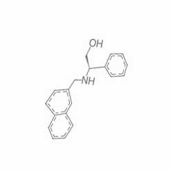 OC[C@H](NCc1ccc2ccccc2c1)c1ccccc1